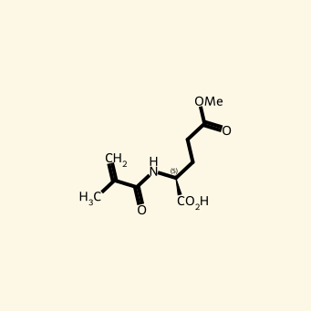 C=C(C)C(=O)N[C@@H](CCC(=O)OC)C(=O)O